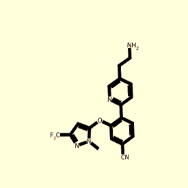 Cn1nc(C(F)(F)F)cc1Oc1cc(C#N)ccc1-c1ccc(CCN)cn1